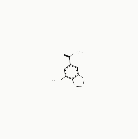 COC(=O)c1cc(OC)c2c(c1)OPO2